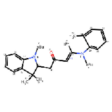 CCCCN(/C(=C/C(=O)CC1N(CCCC)c2ccccc2C1(C)C)C(C)C)c1ccccc1C